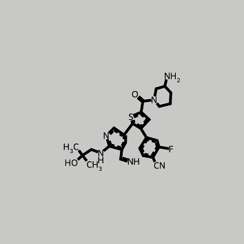 CC(C)(O)CNc1ncc(-c2sc(C(=O)N3CCCC(N)C3)cc2-c2ccc(C#N)c(F)c2)cc1C=N